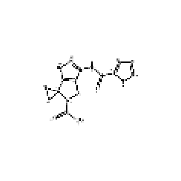 CC(C)(C)C(=O)N1Cc2c(NC(=O)c3cccs3)n[nH]c2C12CC2